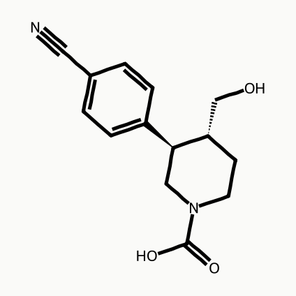 N#Cc1ccc([C@@H]2CN(C(=O)O)CC[C@H]2CO)cc1